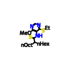 CCCCCCCCC(CCCCCC)C(=S)Nc1c(OC)ncnc1SCC